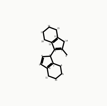 CC1=C(C2C=CC3=C2CCCC3)C2=C([CH]1)CCCC2